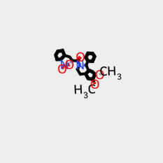 COc1cc2c(cc1OC)C(c1ccccc1)N(C(=O)CCc1ccccc1[N+](=O)[O-])CC2